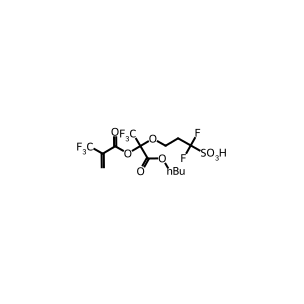 C=C(C(=O)OC(OCCC(F)(F)S(=O)(=O)O)(C(=O)OCCCC)C(F)(F)F)C(F)(F)F